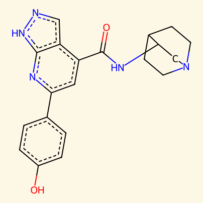 O=C(NC1CN2CCC1CC2)c1cc(-c2ccc(O)cc2)nc2[nH]ncc12